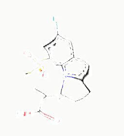 CC(C(=O)O)[C@H]1CCc2cc3cc(F)cc(S(C)(=O)=O)c3n21